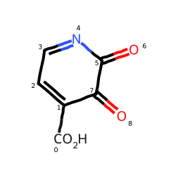 O=C(O)C1=CC=NC(=O)C1=O